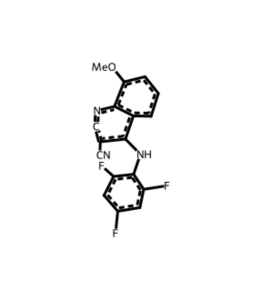 COc1cccc2c(Nc3c(F)cc(F)cc3F)c(C#N)cnc12